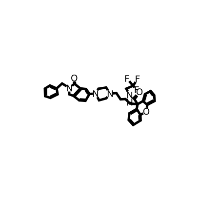 O=C1c2cc(N3CCN(CCCCC4(C(=O)NCC(F)(F)F)c5ccccc5Oc5ccccc54)CC3)ccc2CN1Cc1ccccc1